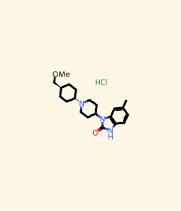 COC[C@H]1CC[C@H](N2CCC(n3c(=O)[nH]c4ccc(C)cc43)CC2)CC1.Cl